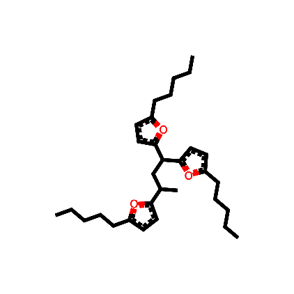 CCCCCc1ccc(C(C)CC(c2ccc(CCCCC)o2)c2ccc(CCCCC)o2)o1